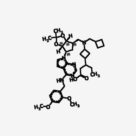 CCC(CC(=O)O)C1CC(N(CC2CCC2)C[C@H]2C[C@@H](n3ccc4c(NCc5ccc(OC)cc5OC)ncnc43)[C@@H]3OC(C)(C)O[C@H]23)C1